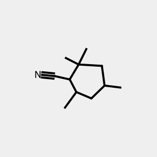 CC1CC(C)C(C#N)C(C)(C)C1